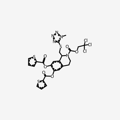 Cn1nnnc1SCC1c2cc(OC(=O)c3cccs3)c(OC(=O)c3cccs3)cc2CCN1C(=O)OCC(Cl)(Cl)Cl